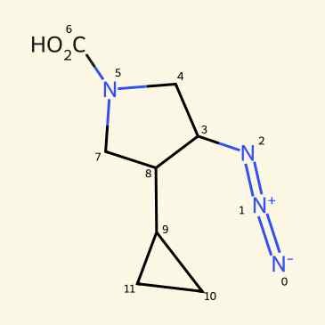 [N-]=[N+]=NC1CN(C(=O)O)CC1C1CC1